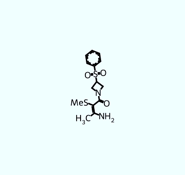 CS/C(C(=O)N1CC(S(=O)(=O)c2ccccc2)C1)=C(\C)N